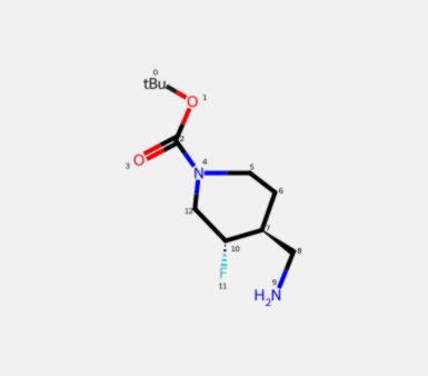 CC(C)(C)OC(=O)N1CC[C@@H](CN)[C@H](F)C1